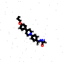 CCCOc1ccc(C2CCN(c3ccc([C@H](C)NC(C)=O)cc3)CC2)cc1